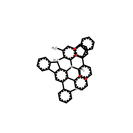 Cc1ccccc1-c1cc2c(c(N(c3ccccc3-c3ccccc3)c3c(C)c(C)cc4c3Cc3ccccc3-4)c1-c1ccccc1C)Cc1ccccc1-2